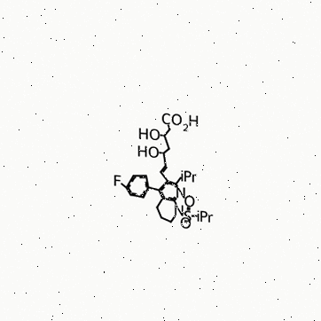 CC(C)c1nc2c(c(-c3ccc(F)cc3)c1C=C[C@@H](O)C[C@@H](O)CC(=O)O)CCCN2S(=O)(=O)C(C)C